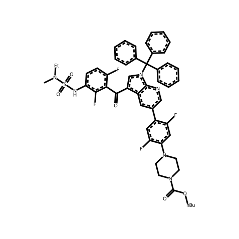 CCCCOC(=O)N1CCN(c2cc(F)c(-c3cnc4c(c3)c(C(=O)c3c(F)ccc(NS(=O)(=O)N(C)CC)c3F)cn4C(c3ccccc3)(c3ccccc3)c3ccccc3)cc2F)CC1